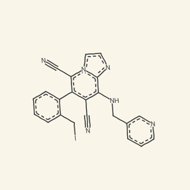 N#Cc1c(-c2ccccc2CI)c(C#N)n2ccnc2c1NCc1cccnc1